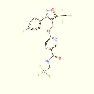 O=C(NCC(F)(F)F)c1ccc(OCc2c(-c3ccc(F)cc3)noc2C(F)(F)F)nc1